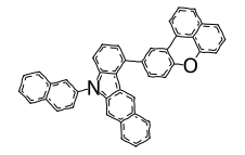 c1ccc2cc(-n3c4cc5ccccc5cc4c4c(-c5ccc6c(c5)-c5cccc7cccc(c57)O6)cccc43)ccc2c1